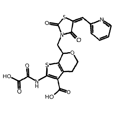 O=C(O)C(=O)Nc1sc2c(c1C(=O)O)CCOC2CN1C(=O)SC(=Cc2ccccn2)C1=O